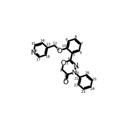 O=C1COC(c2ccccc2OCc2ccncc2)=NN1c1ccccc1